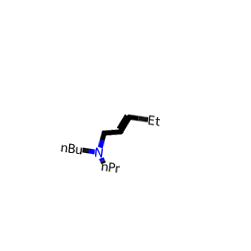 [CH2]CCCN(CC=CCC)CCC